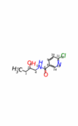 CCC(O)CNC(=O)c1ccc(Cl)nc1